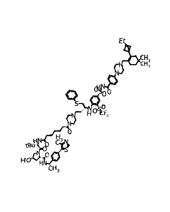 CCC12CC(C3=C(CN4CCN(c5ccc(C(=O)NS(=O)(=O)c6ccc(N[C@H](CCN7CCN(C(=O)CCCCCC(=O)N[C@H](C(=O)N8C[C@H](O)C[C@H]8C(=O)N[C@@H](C)c8ccc(-c9scnc9C)cc8)C(C)(C)C)CC7)CSc7ccccc7)c(S(=O)(=O)C(F)(F)F)c6)cc5)CC4)CCC(C)(C)C3)(C1)C2